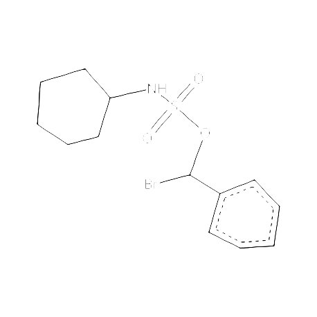 O=S(=O)(NC1CCCCC1)OC(Br)c1ccccc1